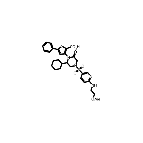 COCCNc1ccc(S(=O)(=O)N2CC(=O)N(c3cc(-c4ccccc4)sc3C(=O)O)C(C3CCCCC3)C2)cn1